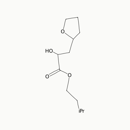 CC(C)CCOC(=O)C(O)CC1CCCO1